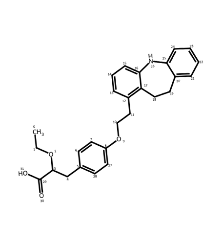 CCOC(Cc1ccc(OCCc2cccc3c2CCc2ccccc2N3)cc1)C(=O)O